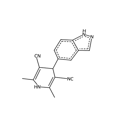 [C-]#[N+]C1=C(C)NC(C)=C(C#N)C1c1ccc2[nH]ncc2c1